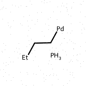 CCC[CH2][Pd].P